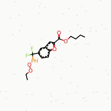 CCCCOC(=O)c1cc2cc(C(F)(F)POOCC)ccc2o1